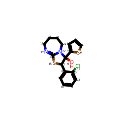 OC1(c2cccs2)C(c2ccccc2Cl)SC2=NCCCCN21